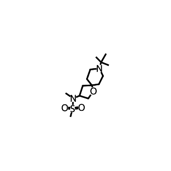 CN(C1COC2(CCN(C(C)(C)C)CC2)C1)S(C)(=O)=O